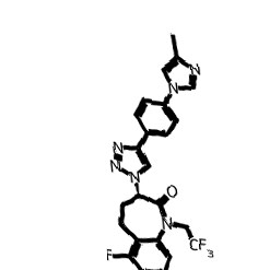 Cc1cn(-c2ccc(-c3cn([C@@H]4CCc5c(F)cccc5N(CC(F)(F)F)C4=O)nn3)cc2)cn1